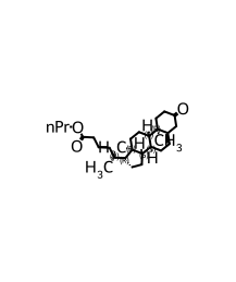 CCCOC(=O)CCC[C@@H](C)[C@H]1CC[C@H]2[C@@H]3CC=C4CC(=O)CC[C@]4(C)[C@H]3CC[C@]12C